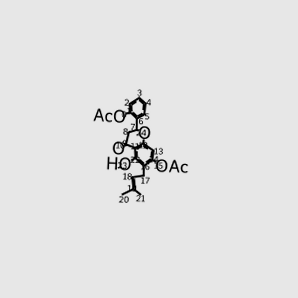 CC(=O)Oc1ccccc1C1CC(=O)c2c(cc(OC(C)=O)c(CC=C(C)C)c2O)O1